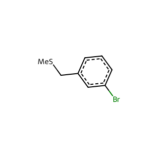 CSCc1cccc(Br)c1